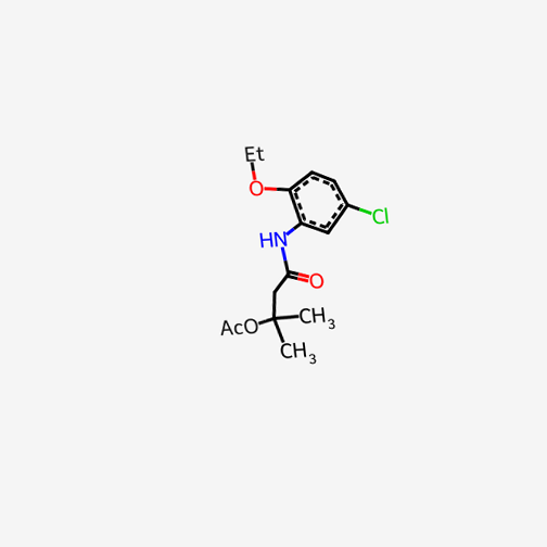 CCOc1ccc(Cl)cc1NC(=O)CC(C)(C)OC(C)=O